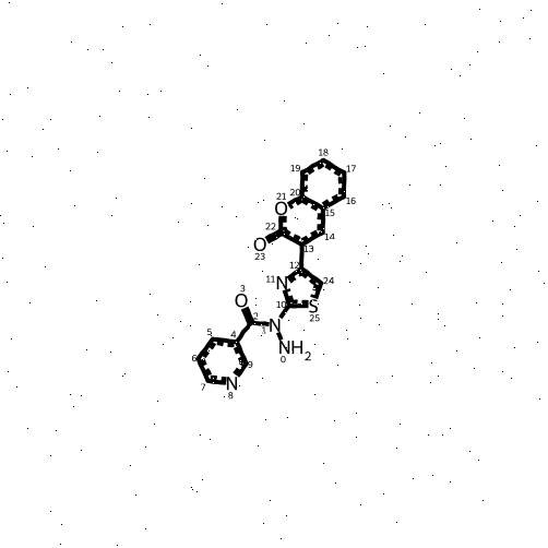 NN(C(=O)c1cccnc1)c1nc(-c2cc3ccccc3oc2=O)cs1